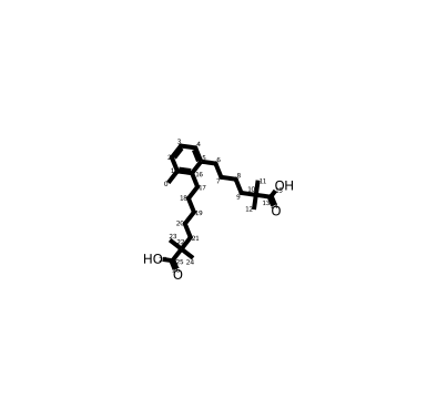 Cc1cccc(CCCCC(C)(C)C(=O)O)c1CCCCCC(C)(C)C(=O)O